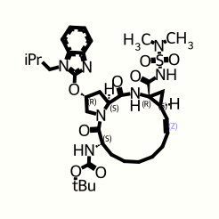 CC(C)Cn1c(O[C@@H]2C[C@H]3C(=O)N[C@]4(C(=O)NS(=O)(=O)N(C)C)C[C@H]4/C=C\CCCCC[C@H](NC(=O)OC(C)(C)C)C(=O)N3C2)nc2ccccc21